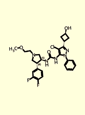 COCCN1C[C@@H](NC(=O)Nc2c(Cl)c([C@H]3C[C@H](O)C3)nn2-c2ccccc2)[C@H](c2ccc(F)c(F)c2)C1